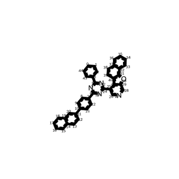 c1ccc(-c2nc(-c3ccc(-c4ccc5ccccc5c4)cc3)nc(-c3cncc4oc5c6ccccc6ccc5c34)n2)cc1